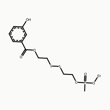 CCOP(C)(=O)OCCSSCCOC(=O)c1cccc(O)c1